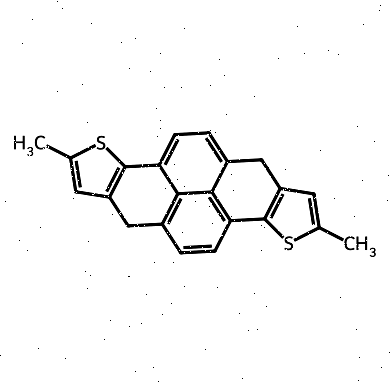 Cc1cc2c(s1)-c1ccc3c4c(ccc(c14)C2)-c1sc(C)cc1C3